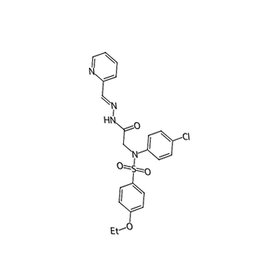 CCOc1ccc(S(=O)(=O)N(CC(=O)N/N=C/c2ccccn2)c2ccc(Cl)cc2)cc1